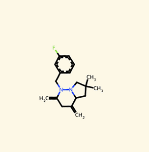 C=C1CC(=C)N(Cc2cccc(F)c2)N2CC(C)(C)CC12